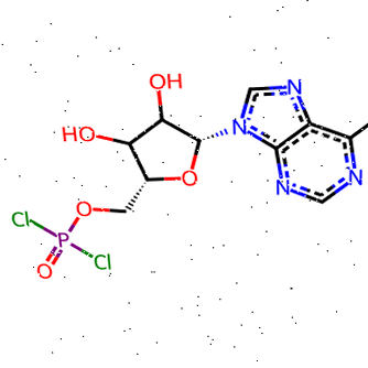 Cc1ncnc2c1ncn2[C@@H]1O[C@H](COP(=O)(Cl)Cl)C(O)C1O